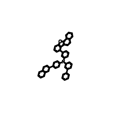 c1ccc(-c2cccc(N(c3ccc(-c4ccc5ccccc5c4)cc3)c3cccc(-c4cccc5oc6c7ccccc7ccc6c45)c3)c2)cc1